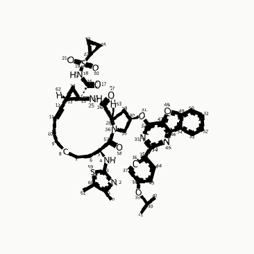 Cc1nc(N[C@H]2CCCCCC=C[C@@H]3C[C@@]3(C(=O)NS(=O)(=O)C3CC3)NC(=O)[C@@H]3C[C@@H](Oc4nc(-c5ccc(OC(C)C)cc5)nc5c4oc4ccccc45)CN3C2=O)sc1C